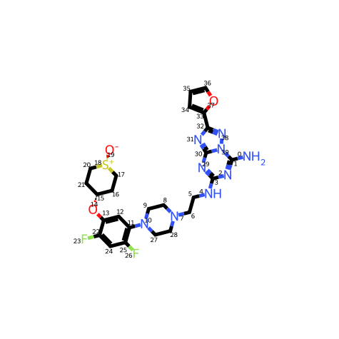 Nc1nc(NCCN2CCN(c3cc(O[C@H]4CC[S@+]([O-])CC4)c(F)cc3F)CC2)nc2nc(-c3ccco3)nn12